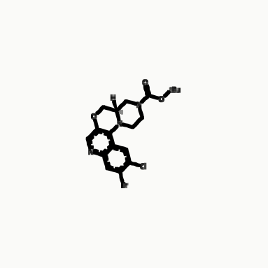 CC(C)(C)OC(=O)N1CCN2c3c(cnc4cc(Br)c(Cl)cc34)OC[C@@H]2C1